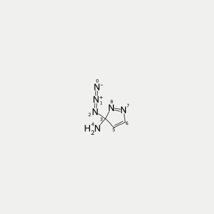 [N-]=[N+]=NC1(N)C=CN=N1